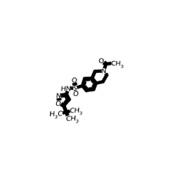 CC(=O)N1CCc2ccc(S(=O)(=O)Nc3cc(C(C)(C)C)on3)cc2C1